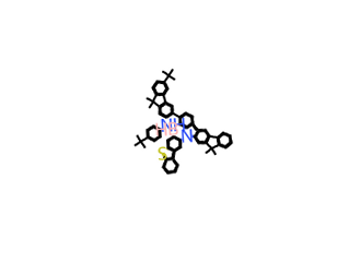 CC(C)(C)c1ccc(Nc2cc3c(cc2-c2ccc4c5cc6c(cc5n5c4c2Bc2cc4sc7ccccc7c4cc2-5)C(C)(C)c2ccccc2-6)-c2cc(C(C)(C)C)ccc2C3(C)C)cc1